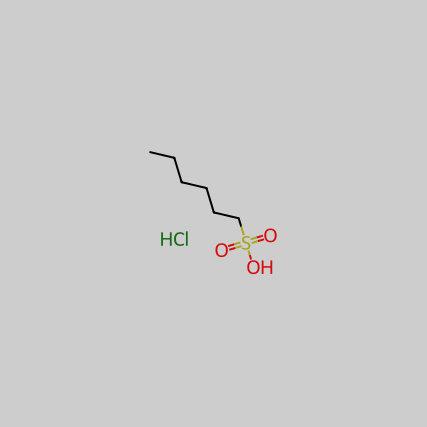 CCCCCCS(=O)(=O)O.Cl